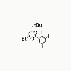 CCP1CC(CC(C)(C)C)OC(c2cc(C)cc(I)c2I)O1